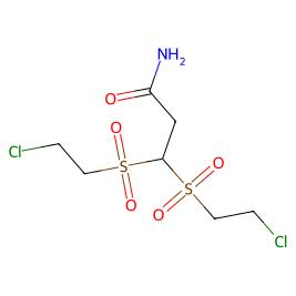 NC(=O)CC(S(=O)(=O)CCCl)S(=O)(=O)CCCl